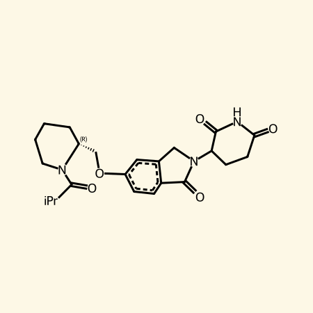 CC(C)C(=O)N1CCCC[C@@H]1COc1ccc2c(c1)CN(C1CCC(=O)NC1=O)C2=O